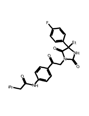 CCC1(c2ccc(F)cc2)NC(=O)N(CC(=O)c2ccc(NC(=O)CC(C)C)cc2)C1=O